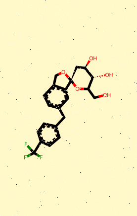 OCC1O[C@@]2(C[C@@H](O)[C@@H]1O)OCc1ccc(Cc3ccc(C(F)(F)F)cc3)cc12